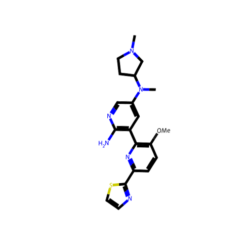 COc1ccc(-c2nccs2)nc1-c1cc(N(C)C2CCN(C)C2)cnc1N